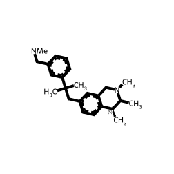 CNCc1cccc(C(C)(C)Cc2ccc3c(c2)CN(C)C(C)[C@H]3C)c1